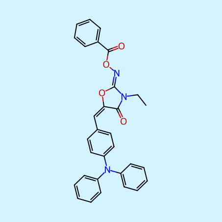 CCN1C(=O)/C(=C\c2ccc(N(c3ccccc3)c3ccccc3)cc2)OC1=NOC(=O)c1ccccc1